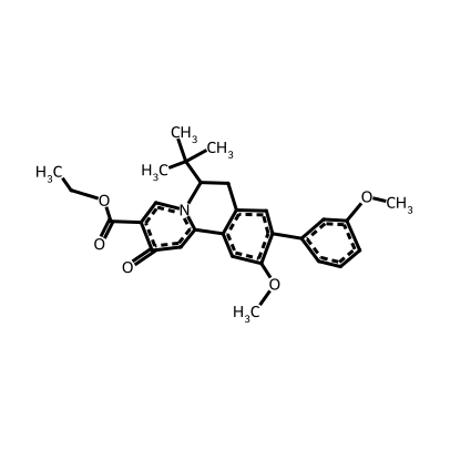 CCOC(=O)c1cn2c(cc1=O)-c1cc(OC)c(-c3cccc(OC)c3)cc1CC2C(C)(C)C